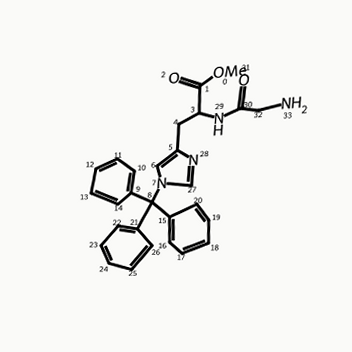 COC(=O)C(Cc1cn(C(c2ccccc2)(c2ccccc2)c2ccccc2)cn1)NC(=O)CN